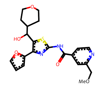 COCc1cc(C(=O)Nc2nc(-c3ccco3)c(C(O)C3CCOCC3)s2)ccn1